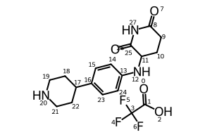 O=C(O)C(F)(F)F.O=C1CCC(Nc2ccc(C3CCNCC3)cc2)C(=O)N1